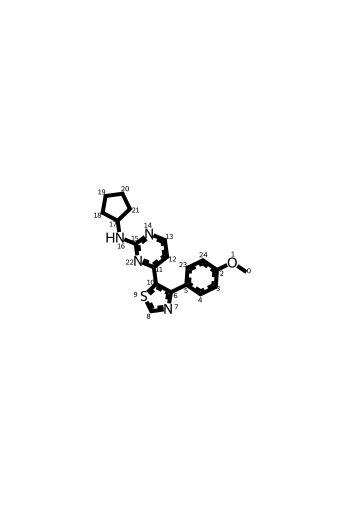 COc1ccc(-c2ncsc2-c2ccnc(NC3CCCC3)n2)cc1